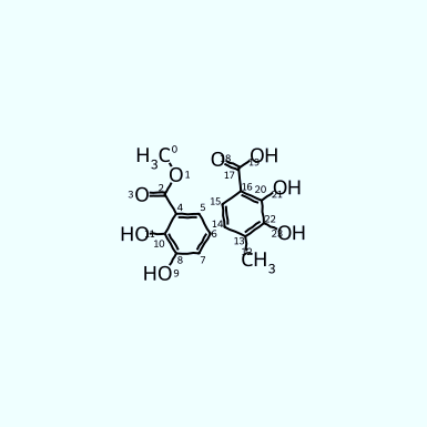 COC(=O)c1cccc(O)c1O.Cc1ccc(C(=O)O)c(O)c1O